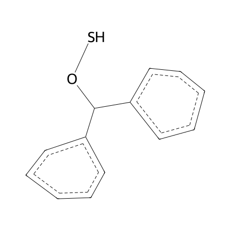 SOC(c1ccccc1)c1ccccc1